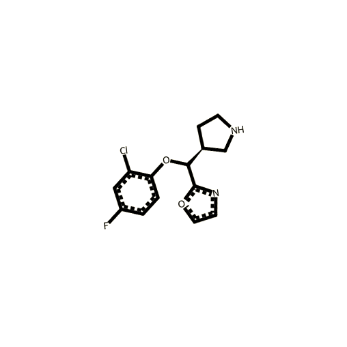 Fc1ccc(OC(c2ncco2)[C@H]2CCNC2)c(Cl)c1